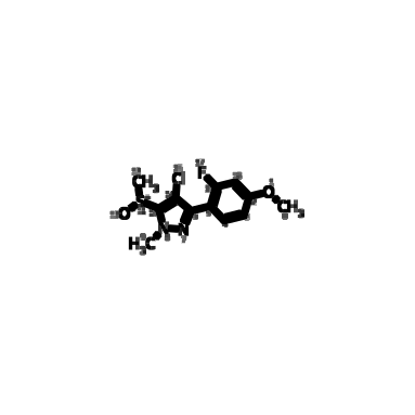 COc1ccc(-c2nn(C)c([S+](C)[O-])c2Cl)c(F)c1